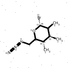 CC1[C@@H](C)[C@H](C)C(CN=[N+]=[N-])O[C@@H]1Br